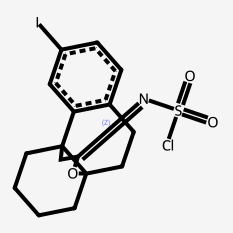 O=S(=O)(Cl)/N=C1/CC23CCCCC2(CCc2ccc(I)cc23)O1